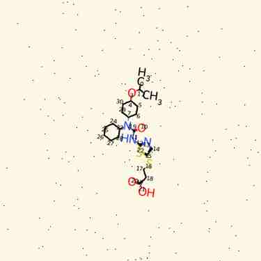 CC(C)O[C@H]1CC[C@H](N(C(=O)Nc2ncc(SCCC(=O)O)s2)C2CCCCC2)CC1